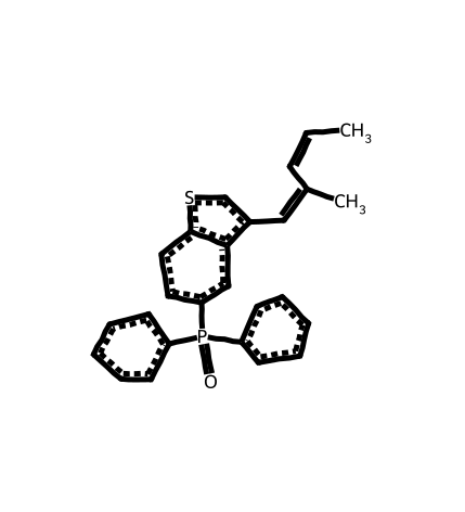 C/C=C\C(C)=C/c1csc2ccc(P(=O)(c3ccccc3)c3ccccc3)cc12